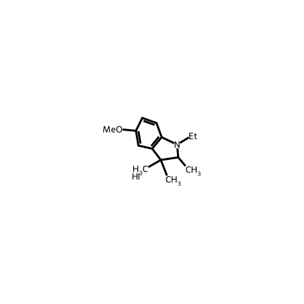 CCN1c2ccc(OC)cc2C(C)(C)C1C.I